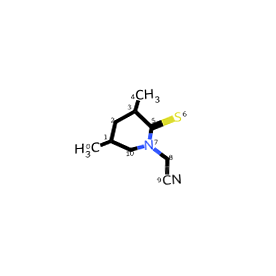 CC1CC(C)C(=S)N(CC#N)C1